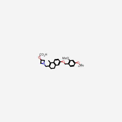 CC[C@H](C)Oc1ccc(COc2ccc3c(c2)CCC(CN2CC(OC(=O)O)C2)=C3C)c(OC)c1